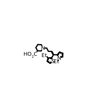 CCc1ccsc1/C(=C\CCN1CCCC(C(=O)O)C1)c1cccn1CC